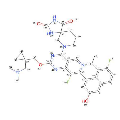 CCc1c(F)ccc2cc(O)cc(-c3ncc4c(N5CCCC6(C5)NC(=O)NC6=O)nc(OCC5(CN(C)C)CC5)nc4c3F)c12